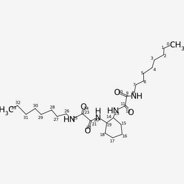 CCCCCCCCNC(=O)C(=O)NC1CCCCC1NC(=O)C(=O)NCCCCCCCC